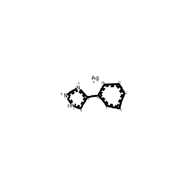 [Ag].c1ccc(-c2c[nH]nn2)cc1